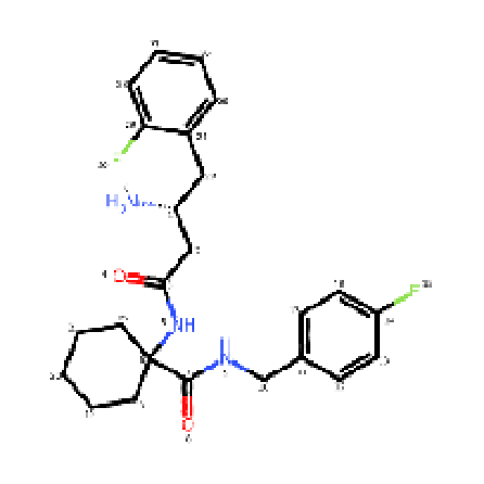 N[C@@H](CC(=O)NC1(C(=O)NCc2ccc(F)cc2)CCCCC1)Cc1ccccc1F